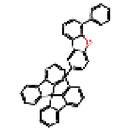 c1ccc(-c2cccc3c2oc2ccc(Cc4cccc5c4C4(c6ccccc6-c6ccccc64)c4ccccc4-5)cc23)cc1